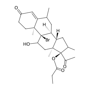 CCC(=O)O[C@]1(C(C)=O)C(C)C[C@H]2[C@@H]3CC(C)C4=CC(=O)CC[C@]4(C)[C@@]3(Br)C(O)C[C@@]21C